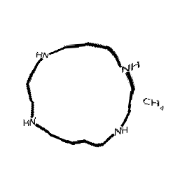 C.C1CNCCNCCCNCCNC1